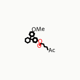 COc1ccc(C2(c3ccc(OC(=O)CCCCC(C)=O)cc3)CCCCC2)cc1